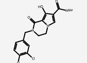 CNC(=O)c1cn2c(c1O)C(=O)N(Cc1ccc(Cl)c(Cl)c1)CC2